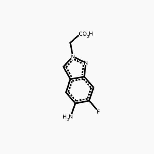 Nc1cc2cn(CC(=O)O)nc2cc1F